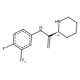 O=C(Nc1ccc(F)c(C(F)(F)F)c1)[C@@H]1CCCCN1